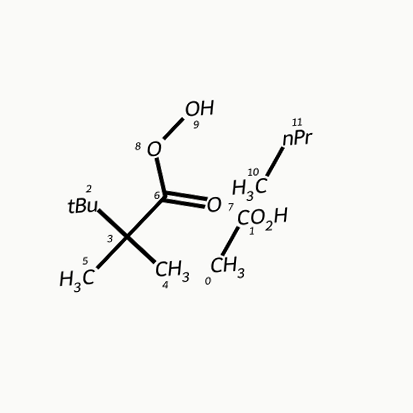 CC(=O)O.CC(C)(C)C(C)(C)C(=O)OO.CCCC